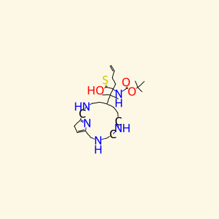 C=CCCC(NC(=O)OC(C)(C)C)(C(O)=S)C(C)(C)C1CCCNCCNCC2=CCC(=N2)CNCC1